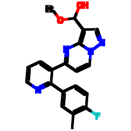 CCOC(O)c1cnn2ccc(-c3cccnc3-c3ccc(F)c(C)c3)nc12